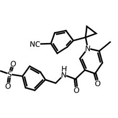 Cc1cc(=O)c(C(=O)NCc2ccc(S(C)(=O)=O)cc2)cn1C1(c2ccc(C#N)cc2)CC1